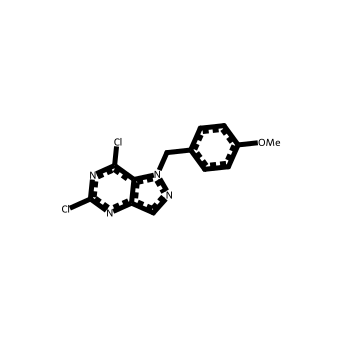 COc1ccc(Cn2ncc3nc(Cl)nc(Cl)c32)cc1